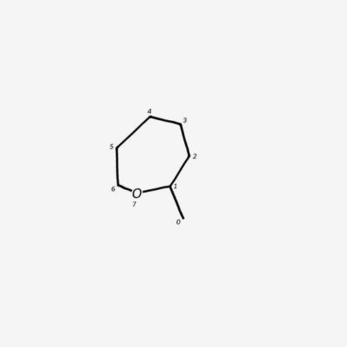 CC1CCCCCO1